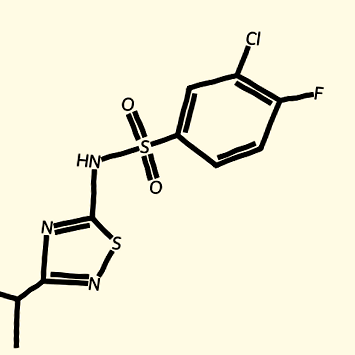 CC(C)c1nsc(NS(=O)(=O)c2ccc(F)c(Cl)c2)n1